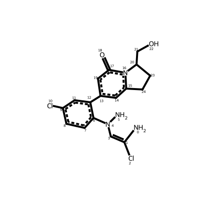 N/C(Cl)=C\N(N)c1ccc(Cl)cc1-c1cc2n(c(=O)c1)C(CO)CC2